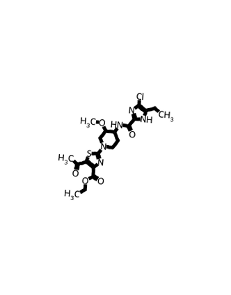 CCOC(=O)c1nc(N2CCC(NC(=O)c3nc(Cl)c(CC)[nH]3)C(OC)C2)sc1C(C)=O